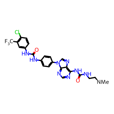 CNCCNC(=O)Nc1ncnc2c1ncn2-c1ccc(NC(=O)Nc2ccc(Cl)c(C(F)(F)F)c2)cc1